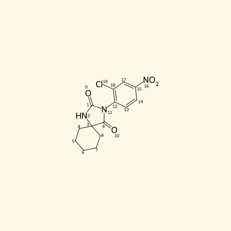 O=C1NC2(CCCCC2)C(=O)N1c1ccc([N+](=O)[O-])cc1Cl